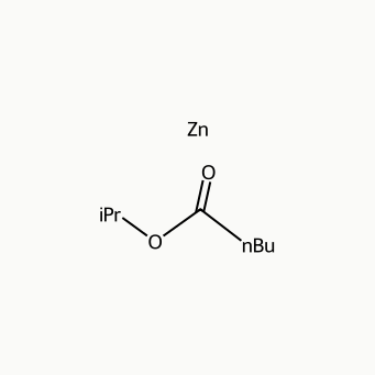 CCCCC(=O)OC(C)C.[Zn]